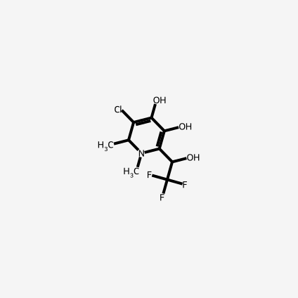 CC1C(Cl)=C(O)C(O)=C(C(O)C(F)(F)F)N1C